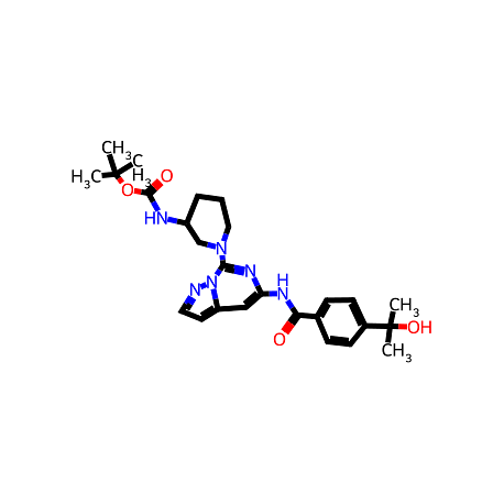 CC(C)(C)OC(=O)NC1CCCN(c2nc(NC(=O)c3ccc(C(C)(C)O)cc3)cc3ccnn23)C1